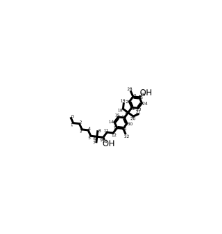 CCCCCCC(C)(C)C(O)CCc1ccc(C(CC)(CC)c2ccc(O)c(C)c2)cc1C